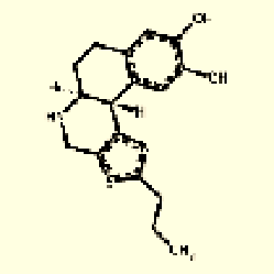 CCCc1nc2c(s1)CN[C@H]1CCc3cc(O)c(O)cc3[C@H]21